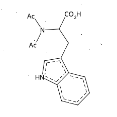 CC(=O)N(C(C)=O)C(Cc1c[nH]c2ccccc12)C(=O)O